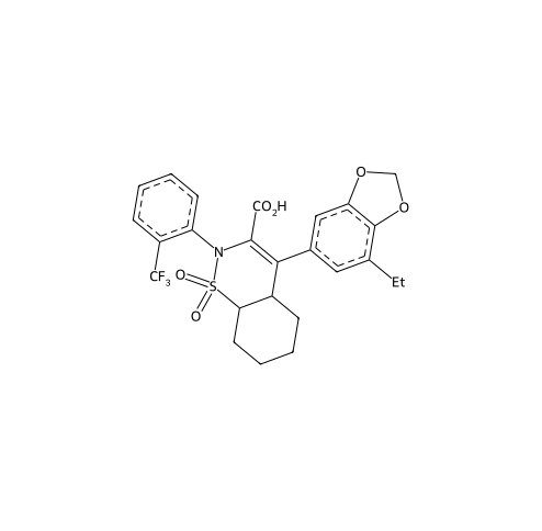 CCc1cc(C2=C(C(=O)O)N(c3ccccc3C(F)(F)F)S(=O)(=O)C3CCCCC23)cc2c1OCO2